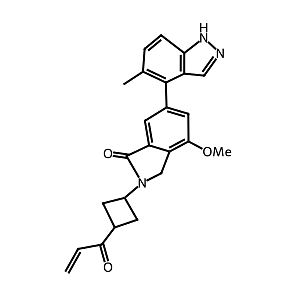 C=CC(=O)C1CC(N2Cc3c(OC)cc(-c4c(C)ccc5[nH]ncc45)cc3C2=O)C1